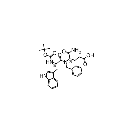 CC(C)(C)OC(=O)N[C@@H](Cc1c[nH]c2ccccc12)C(=O)N(Cc1ccccc1)[C@H](CCC(=O)O)C(N)=O